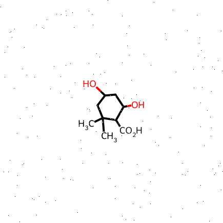 CC1(C)CC(O)CC(O)C1C(=O)O